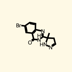 CC1(c2nc3ccc(Br)cc3c(=O)[nH]2)CC=NN1